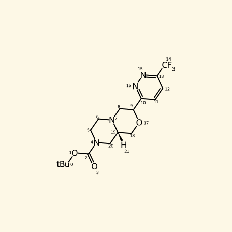 CC(C)(C)OC(=O)N1CCN2CC(c3ccc(C(F)(F)F)nn3)OC[C@@H]2C1